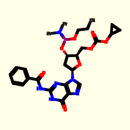 CC(C)N(C(C)C)P(OCCC#N)O[C@H]1C[C@H](n2cnc3c(=O)[nH]c(NC(=O)c4ccccc4)nc32)O[C@@H]1COC(=O)OC1CC1